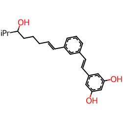 CC(C)C(O)CCCC=Cc1cccc(C=Cc2cc(O)cc(O)c2)c1